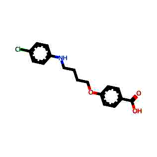 O=C(O)c1ccc(OCCCCNc2ccc(Cl)cc2)cc1